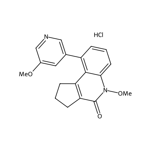 COc1cncc(-c2cccc3c2c2c(c(=O)n3OC)CCC2)c1.Cl